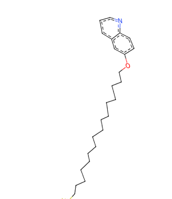 SCCCCCCCCCCCCCCCCOc1ccc2ncccc2c1